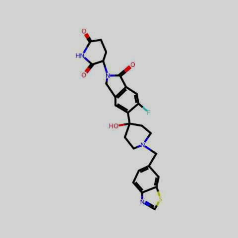 O=C1CCC(N2Cc3cc(C4(O)CCN(Cc5ccc6ncsc6c5)CC4)c(F)cc3C2=O)C(=O)N1